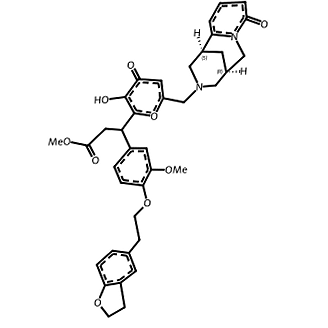 COC(=O)CC(c1ccc(OCCc2ccc3c(c2)CCO3)c(OC)c1)c1oc(CN2C[C@H]3C[C@@H](C2)c2cccc(=O)n2C3)cc(=O)c1O